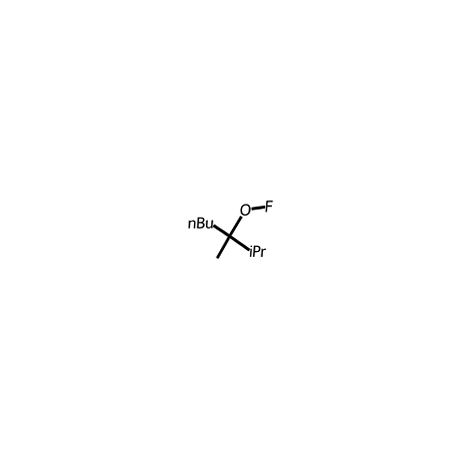 CCCCC(C)(OF)C(C)C